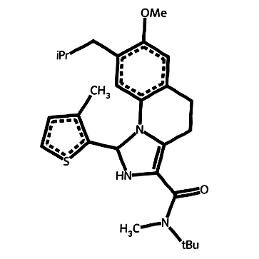 COc1cc2c(cc1CC(C)C)N1C(=C(C(=O)N(C)C(C)(C)C)NC1c1sccc1C)CC2